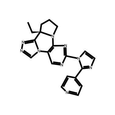 CC[C@@]12CCCN1c1nc(-n3ccnc3-c3ccncc3)ncc1-n1cnnc12